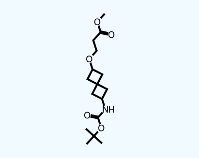 COC(=O)CCOC1CC2(CC(NC(=O)OC(C)(C)C)C2)C1